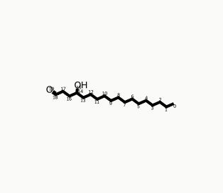 CCCCCCCCCCCCCCC(O)CC[C]=O